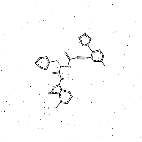 O=C(C#Cc1cc(Cl)ccc1-n1cnnn1)N[C@@H](Cc1ccccc1)C(=O)Nc1n[nH]c2c(Cl)cccc12